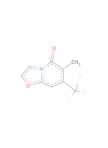 Cc1c(C(F)(F)F)cc2occn2c1=O